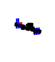 O=C(Nc1ccc(-c2ccc(-c3ccc(NC(=O)[C@@H]4CCCN4)cc3)c3c2CCC32CCCC2)cc1)[C@@H]1CCCN1